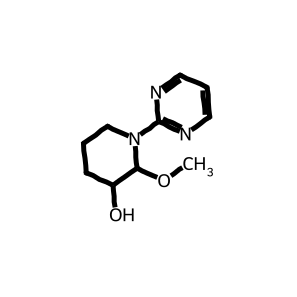 COC1C(O)CCCN1c1ncccn1